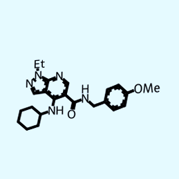 CCn1ncc2c(NC3CCCCC3)c(C(=O)NCc3ccc(OC)cc3)cnc21